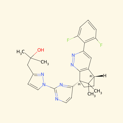 CC(C)(O)Cc1ccn(-c2nccc([C@]34CC[C@@H](c5cc(-c6c(F)cccc6F)nnc53)C4(C)C)n2)n1